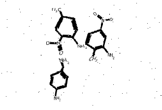 Cc1ccc(N)c([N+](=O)[O-])c1.Cc1ccc([N+](=O)[O-])cc1N.Nc1ccc(N)cc1